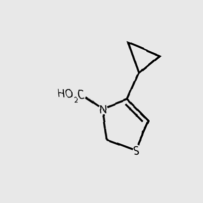 O=C(O)N1CSC=C1C1CC1